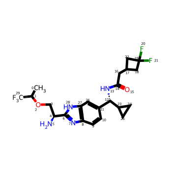 CC(OC[C@H](N)c1nc2ccc([C@H](NC(=O)CC3CC(F)(F)C3)C3CC3)cc2[nH]1)C(F)(F)F